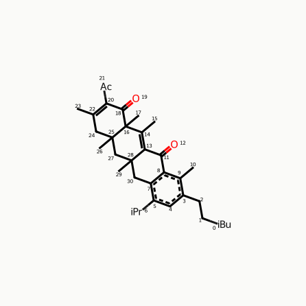 CCC(C)CCc1cc(C(C)C)c2c(c1C)C(=O)C1=C(C)C3(C)C(=O)C(C(C)=O)=C(C)CC3(C)CC1(C)C2